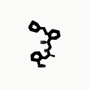 COc1ccccc1C[C@@H](C)NC[C@H](O)c1ccccc1OCc1ccccc1